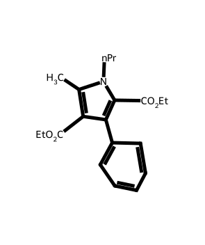 CCCn1c(C)c(C(=O)OCC)c(-c2ccccc2)c1C(=O)OCC